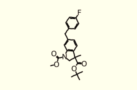 COC(=O)N1CC(C)(C(=O)OC(C)(C)C)c2ccc(Cc3ccc(F)cc3)cc21